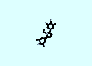 CCn1c(=C2C=C(C)C(=O)C(C)=C2)ccc1=C1C=C(C)C(=O)C(C)=C1